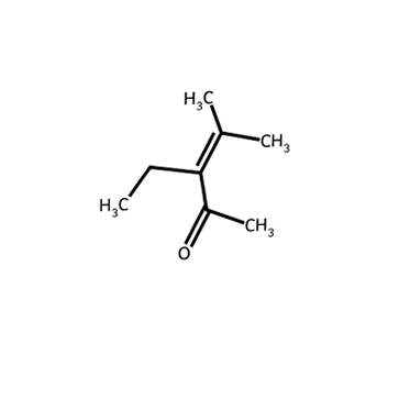 CCC(C(C)=O)=C(C)C